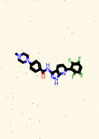 CN1CCN(c2ccc(C(=O)Nc3n[nH]c4nc(-c5c(F)c(F)cc(F)c5F)ccc34)cc2)CC1